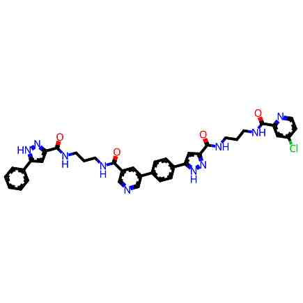 O=C(NCCCNC(=O)c1cc(-c2ccccc2)[nH]n1)c1cncc(-c2ccc(-c3cc(C(=O)NCCCNC(=O)c4cc(Cl)ccn4)n[nH]3)cc2)c1